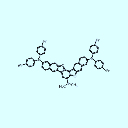 CC(C)c1ccc(N(c2ccc(C(C)C)cc2)c2ccc3cc4c(cc3c2)oc2c4cc(N(C)C)c3oc4cc5cc(N(c6ccc(C(C)C)cc6)c6ccc(C(C)C)cc6)ccc5cc4c32)cc1